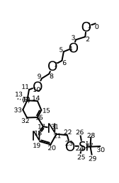 COCCOCCOCCOC[C@@]1(C)CC=C(c2nccc(CO[Si](C)(C)C(C)(C)C)n2)CC1